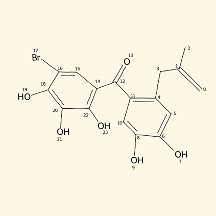 C=C(C)Cc1cc(O)c(O)cc1C(=O)c1cc(Br)c(O)c(O)c1O